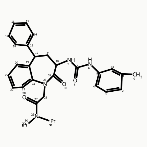 Cc1cccc(NC(=O)NC2CC(c3ccccc3)c3ccccc3N(CC(=O)N(C(C)C)C(C)C)C2=O)c1